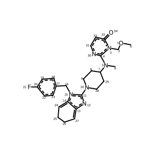 COCn1c(N(C)C2CCN(c3nc4c(n3Cc3ccc(F)cc3)=CCCC=4)CC2)nccc1=O